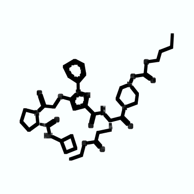 CCCCOC(=O)ON1CCN(C(=O)[C@H](CCC(=O)OCC)NC(=O)c2cc(OCC(=O)N3CCC[C@H]3C(=O)NC3CCC3)n(-c3ccccc3)n2)CC1